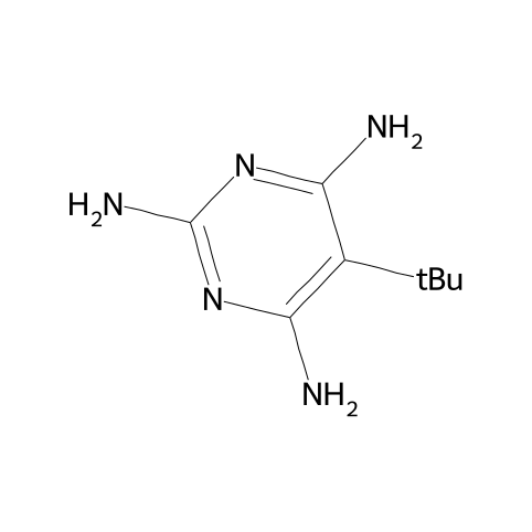 CC(C)(C)c1c(N)nc(N)nc1N